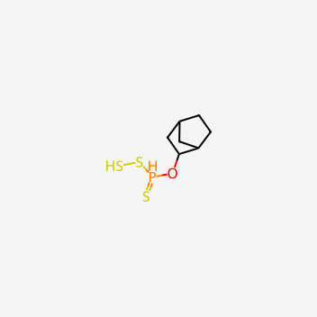 S=[PH](OC1CC2CCC1C2)SS